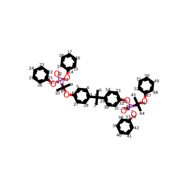 CC(C)(c1ccc(OC(C)(C)P(=O)(Oc2ccccc2)Oc2ccccc2)cc1)c1ccc(OP(=O)(Oc2ccccc2)C(C)(C)Oc2ccccc2)cc1